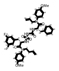 C=CCCN(C(=O)[C@H](Cc1cc(F)cc(F)c1)NS(=O)(=O)NC(=O)N[C@@H](Cc1ccccc1)C(=O)N(CC=C)c1ccc(OC)cc1)c1ccc(OC)cc1